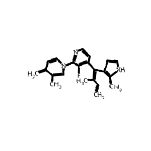 C=C/C(C)=C(\c1cc[nH]c1C)c1ccnc(N2C=CC(=C)C(C)=C2)c1F